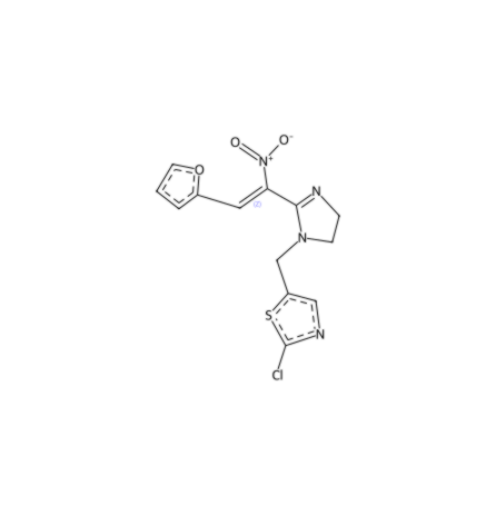 O=[N+]([O-])/C(=C\c1ccco1)C1=NCCN1Cc1cnc(Cl)s1